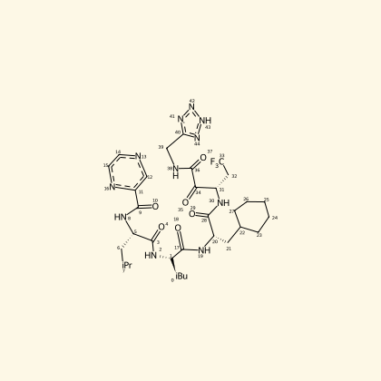 CC[C@H](C)[C@H](NC(=O)[C@H](CC(C)C)NC(=O)c1cnccn1)C(=O)N[C@@H](CC1CCCCC1)C(=O)N[C@@H](CC(F)(F)F)C(=O)C(=O)NCc1nn[nH]n1